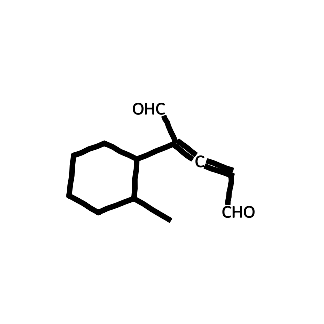 CC1CCCCC1C(=C=CC=O)C=O